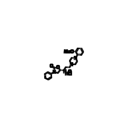 COc1ccccc1N1CCN(CCCC2CN(c3ccccc3)C(=O)O2)CC1.Cl.O